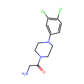 NCC(=O)N1CCN(c2ccc(Cl)c(Cl)c2)CC1